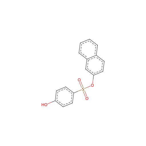 O=S(=O)(Oc1ccc2ccccc2c1)c1ccc(O)cc1